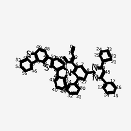 C=C/C=C(\C=C)c1cc(-c2nc(-c3ccccc3)cc(-c3ccccc3)n2)cc(-c2ccccc2)c1-n1c2ccccc2c2c3sc4c(ccc5sc6ccccc6c54)c3ccc21